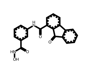 O=C(NO)c1cccc(NC(=O)c2cccc3c2C(=O)c2ccccc2-3)c1